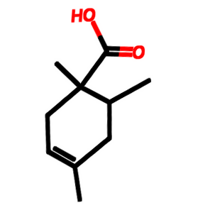 CC1=CCC(C)(C(=O)O)C(C)C1